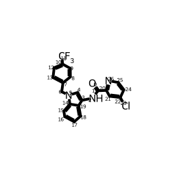 O=C(Nc1cn(Cc2ccc(C(F)(F)F)cc2)c2ccccc12)c1cc(Cl)ccn1